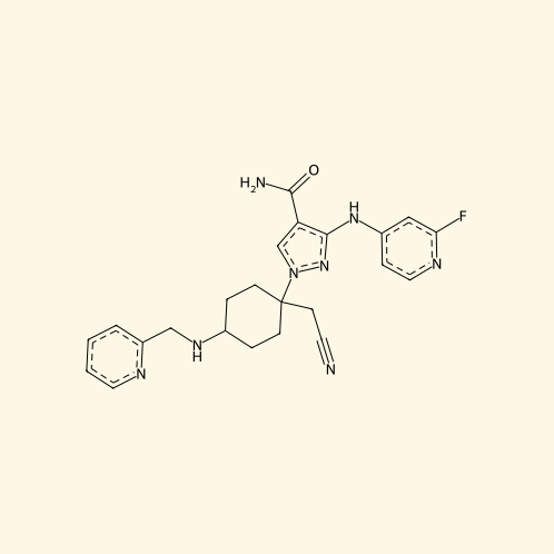 N#CCC1(n2cc(C(N)=O)c(Nc3ccnc(F)c3)n2)CCC(NCc2ccccn2)CC1